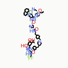 C=CC(=O)N1CCN(c2nc(OC[C@@H]3C[C@H](C(=O)NCCc4ccc(CN5CCC(Cc6ccc(-n7c(C(=O)NCC(F)(F)F)nnc7-c7cc(C(C)C)c(O)cc7O)cc6)CC5)cc4)CN3C)nc3c2CCN(c2cccc4cccc(Cl)c24)C3)C[C@@H]1CC#N